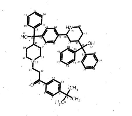 CC(C)(C)c1ccc(C(=O)CCN2CCC(C(O)(c3ccccc3)c3ccc(C4CC(C(O)(c5ccccc5)c5ccccc5)CCN4)cc3)CC2)cc1